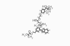 C=C(C)C(=O)OCCc1ccc(O[Si](C)(C)CCC(O)OCCOc2ccc(C(O)C(C)(C)O)cc2)c(-n2nc3ccccc3n2)c1